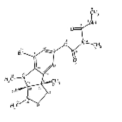 CNC(=O)N(C)C(=O)Oc1cc(Br)c2c(c1)[C@]1(C)CCN(C)[C@@H]1N2C